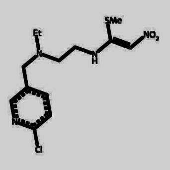 CCN(CCN/C(=C/[N+](=O)[O-])SC)Cc1ccc(Cl)nc1